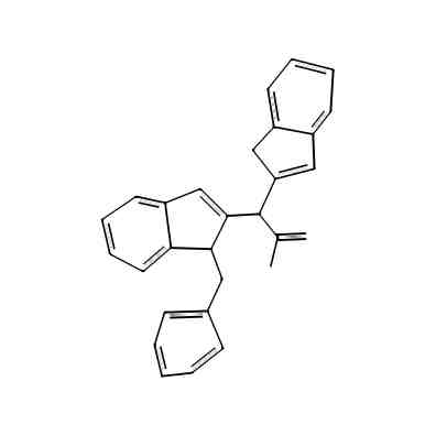 [O]C(=O)C(C1=Cc2ccccc2C1)C1=Cc2ccccc2C1Cc1ccccc1